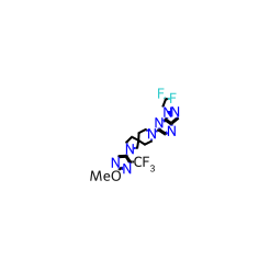 COc1ncc(N2CCC3(CCN(c4cnc5cnn(CC(F)F)c5n4)CC3)C2)c(C(F)(F)F)n1